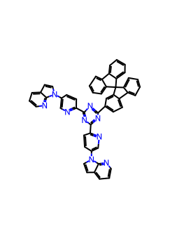 c1ccc2c(c1)-c1ccccc1C21c2ccccc2-c2ccc(-c3nc(-c4ccc(-n5ccc6cccnc65)cn4)nc(-c4ccc(-n5ccc6cccnc65)cn4)n3)cc21